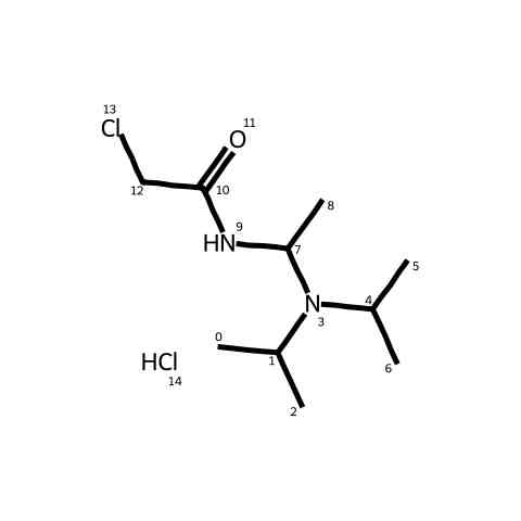 CC(C)N(C(C)C)C(C)NC(=O)CCl.Cl